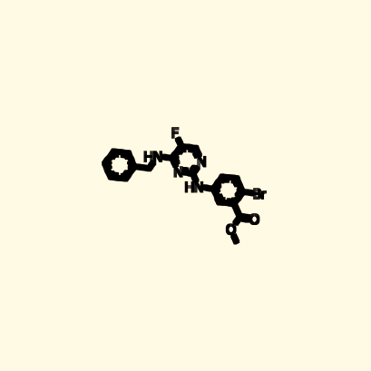 COC(=O)c1cc(Nc2ncc(F)c(NCc3ccccc3)n2)ccc1Br